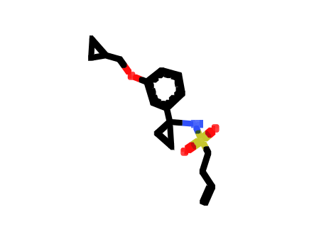 C=CCCS(=O)(=O)NC1(c2cccc(OCC3CC3)c2)CC1